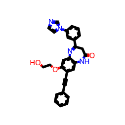 O=C1CC(c2cccc(-n3ccnc3)c2)=Nc2cc(OCCO)c(C#Cc3ccccc3)cc2N1